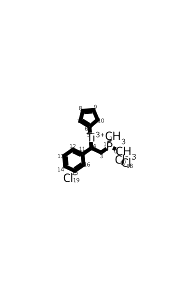 CP(C)C[CH]([Ti+3][C]1=CC=CC1)c1ccccc1.[Cl-].[Cl-].[Cl-]